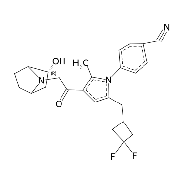 Cc1c(C(=O)CN2C3CCC2[C@H](O)C3)cc(CC2CC(F)(F)C2)n1-c1ccc(C#N)cc1